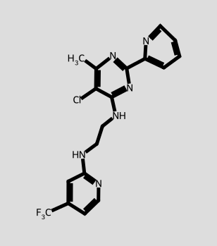 Cc1nc(-c2ccccn2)nc(NCCNc2cc(C(F)(F)F)ccn2)c1Cl